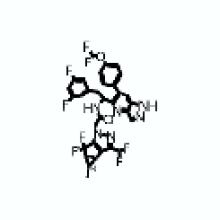 C[C@@H]1C2c3c(C(F)F)nn(CC(=O)NC(Cc4cc(F)cc(F)c4)c4nc5cn[nH]c5cc4-c4ccc(OC(F)F)cc4)c3C(F)(F)C21